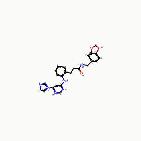 O=C(CCc1ccccc1Nc1cc(-n2ccnc2)ncn1)NCc1ccc2c(c1)OCO2